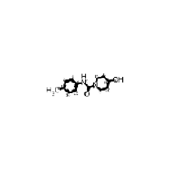 Cc1ccc(NC(=O)N2CCC(O)CC2)cc1